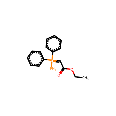 CCOC(=O)C=P(P)(c1ccccc1)c1ccccc1